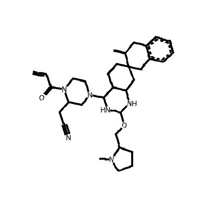 C=CC(=O)N1CCN(C2NC(OCC3CCCN3C)NC3CC4(CCC32)Cc2ccccc2CC4C)CC1CC#N